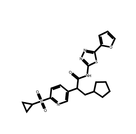 O=C(Nc1nnc(-c2ccco2)s1)C(CC1CCCC1)c1ccc(S(=O)(=O)C2CC2)nc1